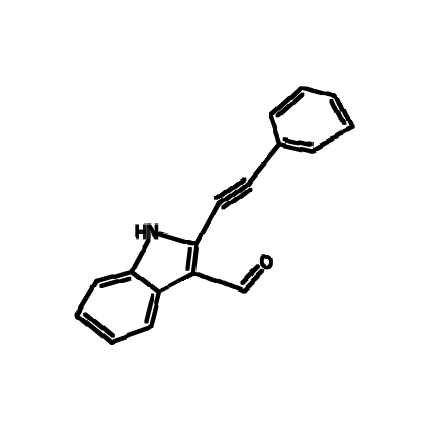 O=Cc1c(C#Cc2ccccc2)[nH]c2ccccc12